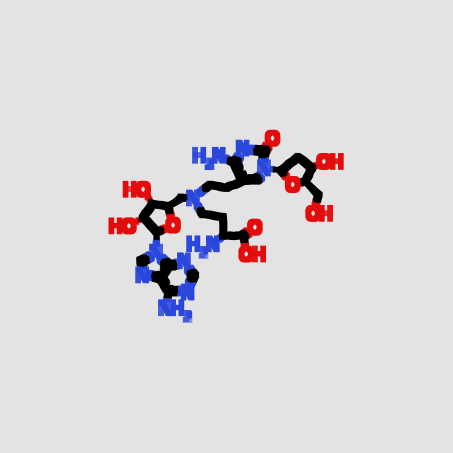 Nc1nc(=O)n([C@@H]2C[C@H](O)[C@@H](CO)O2)cc1CCN(CC[C@H](N)C(=O)O)C[C@H]1O[C@@H](n2cnc3c(N)ncnc32)[C@H](O)[C@@H]1O